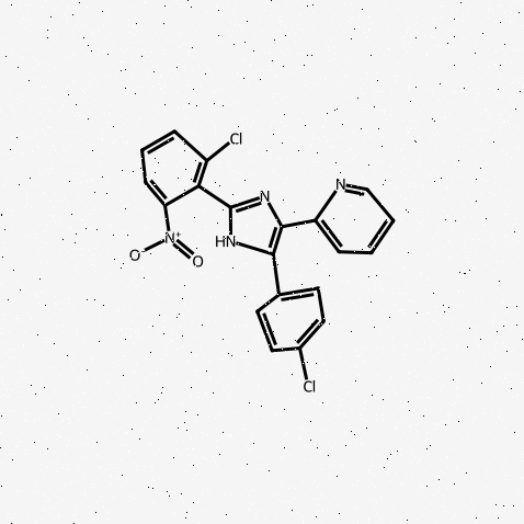 O=[N+]([O-])c1cccc(Cl)c1-c1nc(-c2ccccn2)c(-c2ccc(Cl)cc2)[nH]1